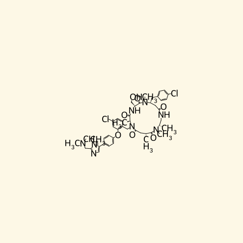 C[C@@H]1CC(=O)N(Cc2ccc(Cl)cc2Oc2ccc(-c3cnc(CN(C)C)n3C)cc2)[C@@H](C)C(=O)N[C@@H](CO)C(=O)N(C)[C@@H](Cc2ccc(Cl)cc2)CC(=O)NC[C@H](C)N(C)C1=O